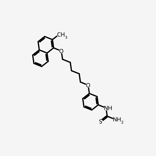 Cc1ccc2ccccc2c1OCCCCCOc1cccc(NC(N)=S)c1